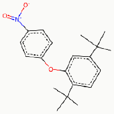 CC(C)(C)c1ccc(C(C)(C)C)c(Oc2ccc([N+](=O)[O-])cc2)c1